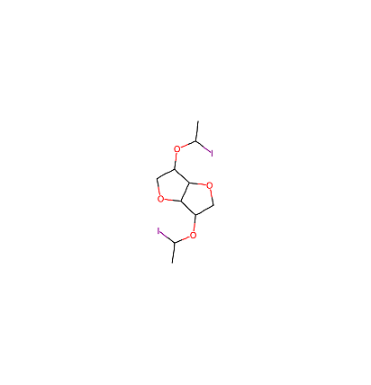 CC(I)OC1COC2C(OC(C)I)COC12